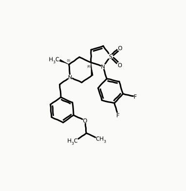 CC(C)Oc1cccc(CN2CC[C@]3(C=CS(=O)(=O)N3c3ccc(F)c(F)c3)C[C@@H]2C)c1